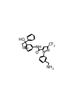 CC(C)(C)[CH]C(O)(c1ccccc1)c1cccc(NC(=O)c2cc(C(F)(F)F)nn2-c2cccc(CN)c2)c1